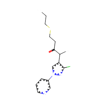 CCC(C(=O)CCSCCC(F)(F)F)c1cn(-c2cccnc2)nc1Cl